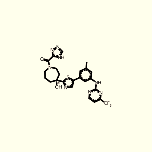 Cc1cc(Nc2nccc(C(F)(F)F)n2)cc(-c2cnc([C@]3(O)CCCN(C(=O)c4nnc[nH]4)CC3)s2)c1